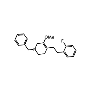 COC1=C(CCc2ccccc2F)CCN(Cc2ccccc2)C1